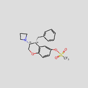 O=S(=O)(Oc1ccc2c(c1)[C@@H](Cc1ccccc1)[C@@H](N1CCC1)CO2)C(F)(F)F